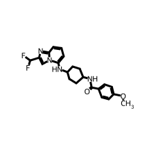 COc1ccc(C(=O)NC2CCC(Nc3cccc4nc(C(F)F)cn34)CC2)cc1